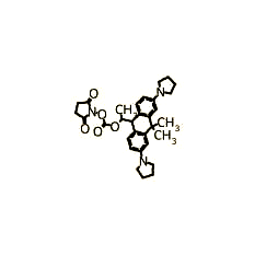 CC(OC(=O)ON1C(=O)CCC1=O)C1c2ccc(N3CCCC3)cc2C(C)(C)c2cc(N3CCCC3)ccc21